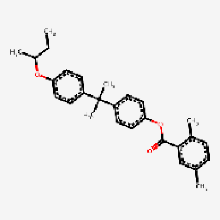 CCC(C)Oc1ccc(C(C)(C)c2ccc(OC(=O)c3cc(C)ccc3C)cc2)cc1